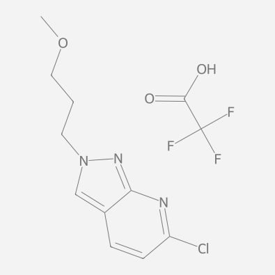 COCCCn1cc2ccc(Cl)nc2n1.O=C(O)C(F)(F)F